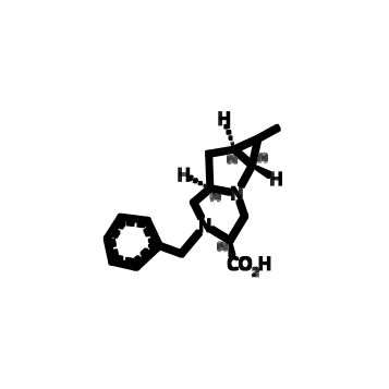 CC1[C@@H]2C[C@@H]3CN(Cc4ccccc4)[C@H](C(=O)O)CN3[C@@H]12